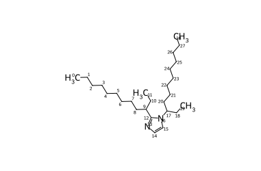 CCCCCCCCCC(CC)c1nccn1C(CC)CCCCCCCCC